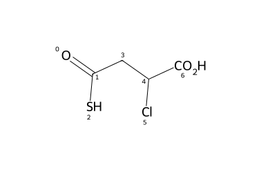 O=C(S)CC(Cl)C(=O)O